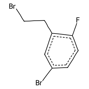 Fc1ccc(Br)cc1CCBr